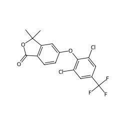 CC1(C)OC(=O)c2ccc(Oc3c(Cl)cc(C(F)(F)F)cc3Cl)cc21